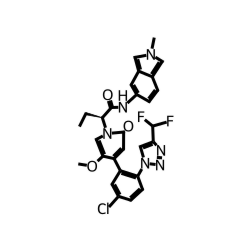 CC[C@@H](C(=O)Nc1ccc2cn(C)cc2c1)n1cc(OC)c(-c2cc(Cl)ccc2-n2cc(C(F)F)nn2)cc1=O